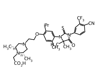 Cc1cc(OCCN2C[C@@H](C)N(CC(=O)O)[C@@H](C)C2)c(C(C)C)cc1N1C(=S)N(c2ccc(C#N)c(C(F)(F)F)c2)C(=O)C1(C)C